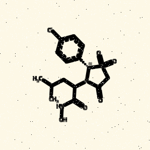 CC(C)CC(C(=O)NO)N1C(=O)CS(=O)(=O)[C@H]1c1ccc(Cl)cc1